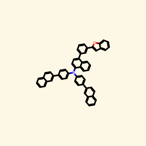 c1cc(-c2cc3ccccc3o2)cc(-c2ccc(N(c3ccc(-c4ccc5ccccc5c4)cc3)c3ccc(-c4ccc5ccccc5c4)cc3)c3ccccc23)c1